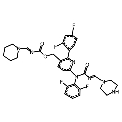 O=C(/N=C/N1CCCCC1)OCc1ccc(N(C(=O)/N=C/N2CCNCC2)c2c(F)cccc2F)nc1-c1ccc(F)cc1F